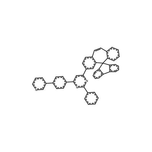 C1=Cc2ccc(-c3cc(-c4ccc(-c5cccnc5)cc4)nc(-c4ccccc4)n3)cc2C2(c3ccccc31)c1ccccc1-c1ccccc12